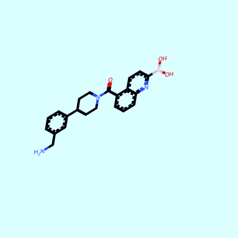 NCc1cccc(C2CCN(C(=O)c3cccc4nc(B(O)O)ccc34)CC2)c1